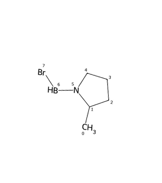 CC1CCCN1BBr